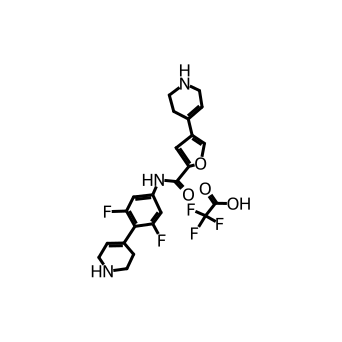 O=C(Nc1cc(F)c(C2=CCNCC2)c(F)c1)c1cc(C2=CCNCC2)co1.O=C(O)C(F)(F)F